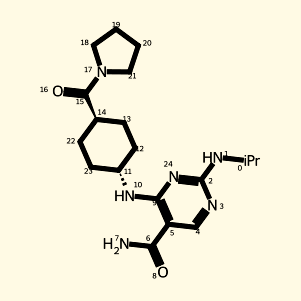 CC(C)Nc1ncc(C(N)=O)c(N[C@H]2CC[C@H](C(=O)N3CCCC3)CC2)n1